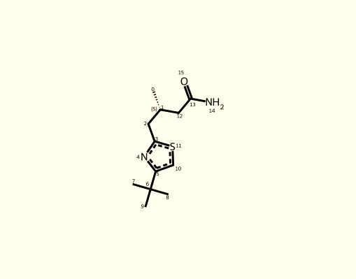 C[C@@H]([CH]c1nc(C(C)(C)C)cs1)CC(N)=O